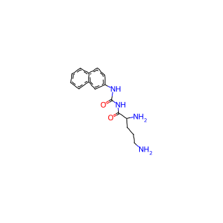 NCCCC(N)C(=O)NC(=O)Nc1ccc2ccccc2c1